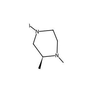 C[C@H]1CN(I)CCN1C